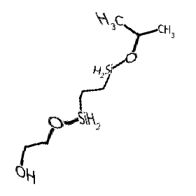 CC(C)O[SiH2]CC[SiH2]OCCO